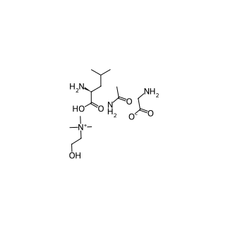 CC(C)C[C@H](N)C(=O)O.CC(N)=O.C[N+](C)(C)CCO.NCC(=O)[O-]